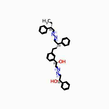 CC[C@H](/C=N/N=C/[C@@H](CCc1cccc([C@H](O)/C=N/N=C/[C@@H](O)c2ccccc2)c1)c1ccccc1)c1ccccc1